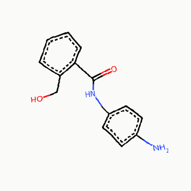 Nc1ccc(NC(=O)c2ccccc2CO)cc1